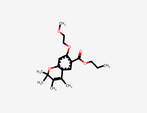 CCCOC(=O)c1cc2c(cc1OCCOC)OC(C)(C)C(C)=C2C